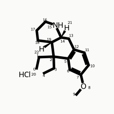 CCC1(CC)c2cc(OC)ccc2C[C@H]2NCCC[C@H]21.Cl